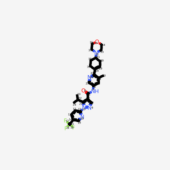 Cc1cc(NC(=O)c2cnn(-c3ccc(C(F)(F)F)cn3)c2C(C)C)cnc1C1=CCC(N2CCOCC2)CC1